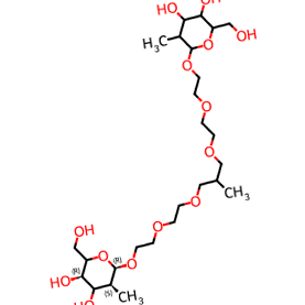 CC(COCCOCCOC1OC(CO)C(O)C(O)C1C)COCCOCCO[C@@H]1OC(CO)[C@H](O)C(O)[C@@H]1C